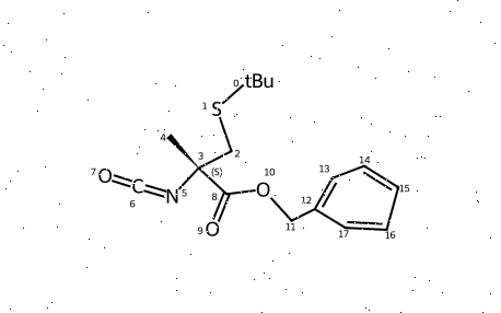 CC(C)(C)SC[C@@](C)(N=C=O)C(=O)OCc1ccccc1